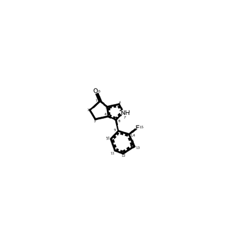 O=C1CCc2c1c[nH]c2-c1ccccc1F